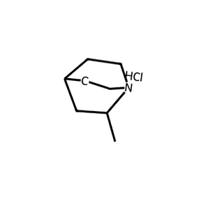 CC1CC2CCN1CC2.Cl